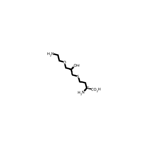 NCCOCC(O)CSCC[C@H](N)C(=O)O